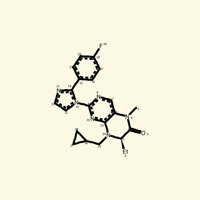 CC[C@@H]1C(=O)N(C)c2cnc(-n3ccnc3-c3ccc(F)cc3)nc2N1CC1CC1